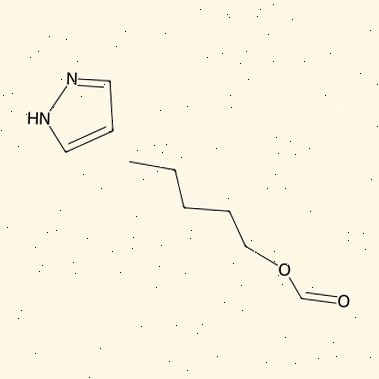 CCCCCOC=O.c1cn[nH]c1